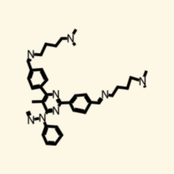 C=NN(c1ccccc1)c1nc(-c2ccc(/C=N/CCCCN(C)C)cc2)nc(-c2ccc(/C=N\CCCCN(C)C)cc2)c1C